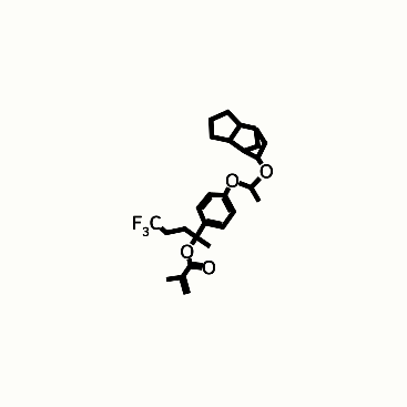 C=C(C)C(=O)OC(C)(CCC(F)(F)F)c1ccc(OC(C)OC2CC3CC2C2CCCC32)cc1